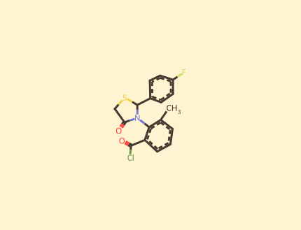 Cc1cccc(C(=O)Cl)c1N1C(=O)CSC1c1ccc(F)cc1